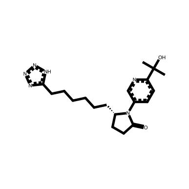 CC(C)(O)c1ccc(N2C(=O)CC[C@@H]2CCCCCCc2nnn[nH]2)cn1